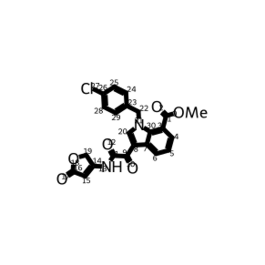 COC(=O)c1cccc2c(C(=O)C(=O)NC3=CC(=O)OC3)cn(Cc3ccc(Cl)cc3)c12